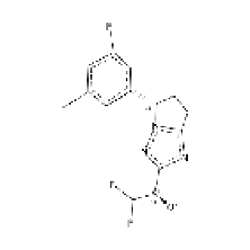 [O-][S@+](c1nc2n(n1)[C@H](c1cc(F)cc(F)c1)CC2)C(F)F